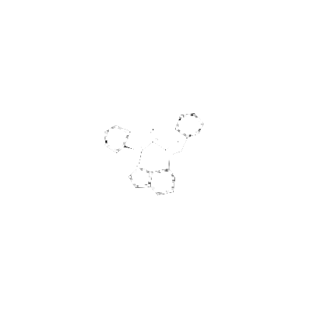 OC[C@@H](O)[C@H](c1ccccc1)n1ccc2cccc(OCc3ccccc3)c21